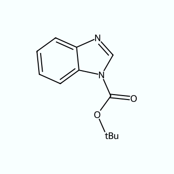 CC(C)(C)OC(=O)n1cnc2ccccc21